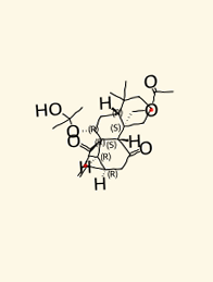 C=C1C(=O)[C@]23[C@H](C)[C@H]1CC(=O)[C@H]2[C@]1(COC(C)=O)CCCC(C)(C)[C@H]1C[C@H]3OC(C)(C)O